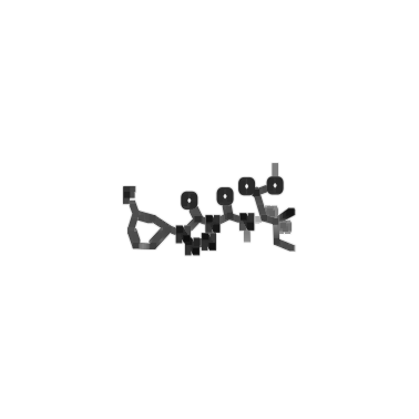 CC[C@H](C)[C@@H](C(=O)OC)N(C)C(=O)n1nnn(-c2cccc(F)c2)c1=O